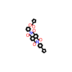 O=C(Oc1cccc(N2C(=O)c3ccc4c5c(ccc(c35)C2=O)C(=O)N(c2ccc(C3=CCC=C3)cc2)C4=O)c1)C1C=CC=C1